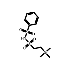 C[Si](C)(C)CCS(=O)(=O)NS(=O)(=O)c1ccccc1